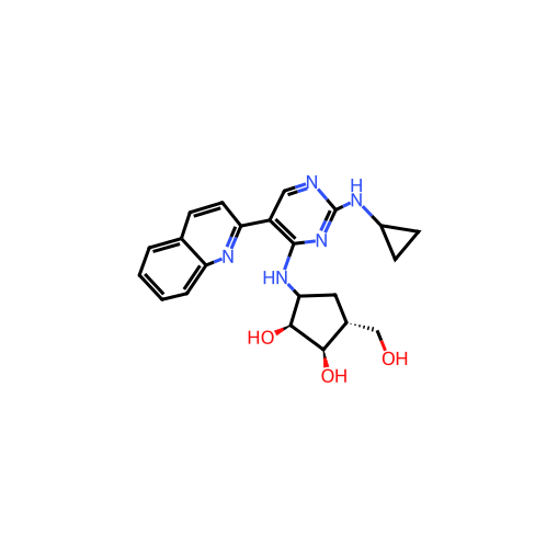 OC[C@H]1CC(Nc2nc(NC3CC3)ncc2-c2ccc3ccccc3n2)[C@H](O)[C@@H]1O